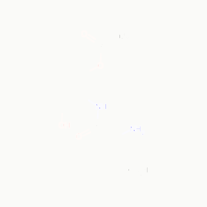 CCC(C)C(=O)OCC(CO)NC(=O)C(N)CC(=O)O